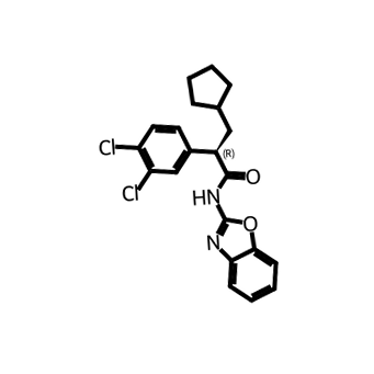 O=C(Nc1nc2ccccc2o1)[C@H](CC1CCCC1)c1ccc(Cl)c(Cl)c1